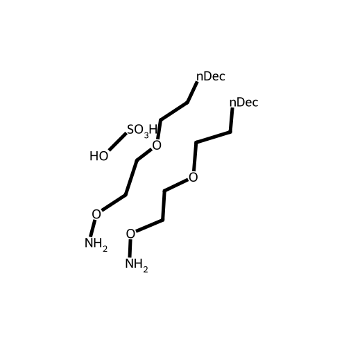 CCCCCCCCCCCCOCCON.CCCCCCCCCCCCOCCON.O=S(=O)(O)O